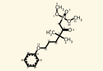 COP(=O)(CC(=O)C(C)(C)CCCOc1ccccc1)OC